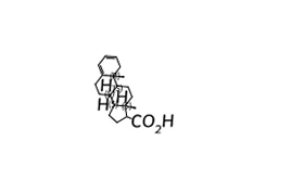 C[C@]12CC=CC=C1CC[C@@H]1[C@@H]2CC[C@]2(C)C(C(=O)O)CC[C@@H]12